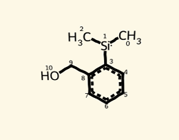 C[Si](C)c1ccccc1CO